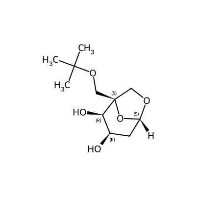 CC(C)(C)OC[C@]12CO[C@H](C[C@@H](O)[C@H]1O)O2